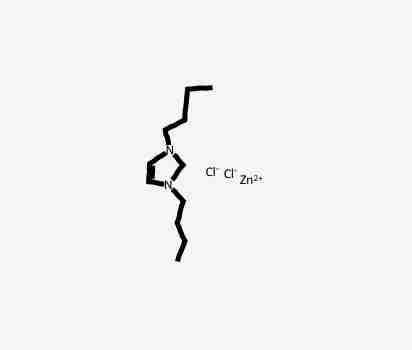 CCCCN1C=CN(CCCC)C1.[Cl-].[Cl-].[Zn+2]